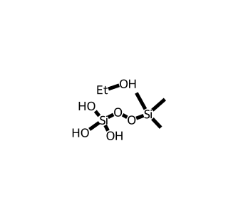 CCO.C[Si](C)(C)OO[Si](O)(O)O